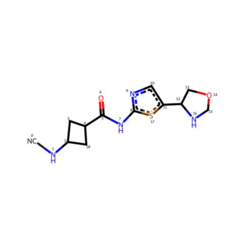 N#CNC1CC(C(=O)Nc2ncc(C3COCN3)s2)C1